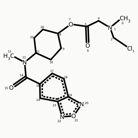 CN(CCl)CC(=O)OC1CCC(N(C)C(=O)c2ccc3nonc3c2)CC1